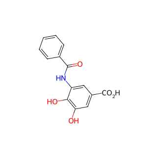 O=C(O)c1cc(O)c(O)c(NC(=O)c2ccccc2)c1